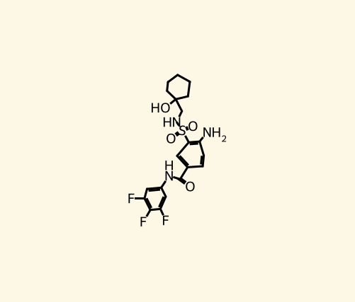 Nc1ccc(C(=O)Nc2cc(F)c(F)c(F)c2)cc1S(=O)(=O)NCC1(O)CCCCC1